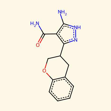 NC(=O)c1c(C2COc3ccccc3C2)n[nH]c1N